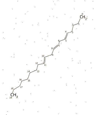 [CH2]CCCC=CCC=CCC=CCCCCCCCC